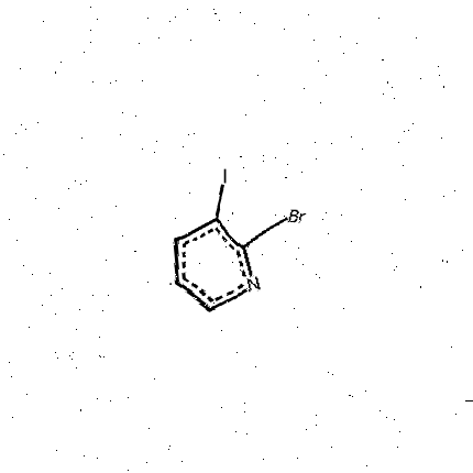 Brc1nc[c]cc1I